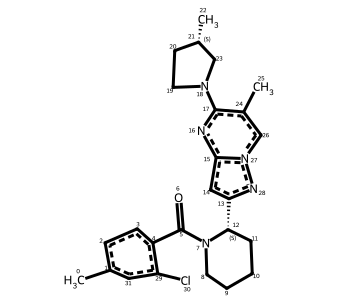 Cc1ccc(C(=O)N2CCCC[C@H]2c2cc3nc(N4CC[C@H](C)C4)c(C)cn3n2)c(Cl)c1